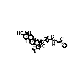 C=C(C)[C@@H]1CC[C@]2(C(=O)NC3CC(C(=O)NCCC(=O)N4CCCC4)C3(C)C)CC[C@]3(C)[C@H](CC[C@@H]4[C@@]5(C)CC[C@H](O)C(C)(C)[C@@H]5CC[C@]43C)[C@@H]12